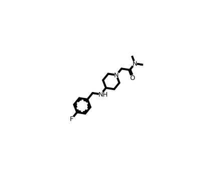 CN(C)C(=O)CN1CCC(NCc2ccc(F)cc2)CC1